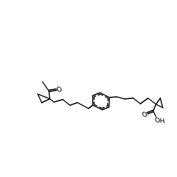 CC(=O)C1(CCCCCc2ccc(CCCCCC3(C(=O)O)CC3)cc2)CC1